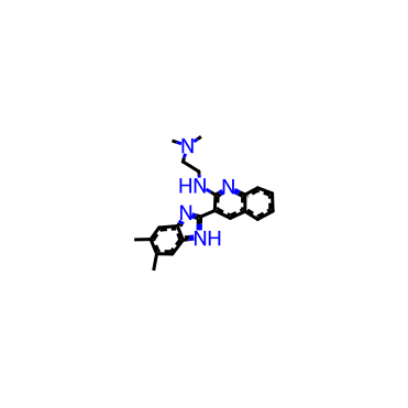 Cc1cc2nc(-c3cc4ccccc4nc3NCCN(C)C)[nH]c2cc1C